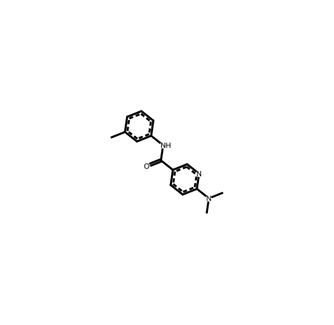 Cc1cccc(NC(=O)c2ccc(N(C)C)nc2)c1